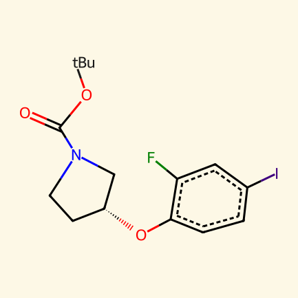 CC(C)(C)OC(=O)N1CC[C@@H](Oc2ccc(I)cc2F)C1